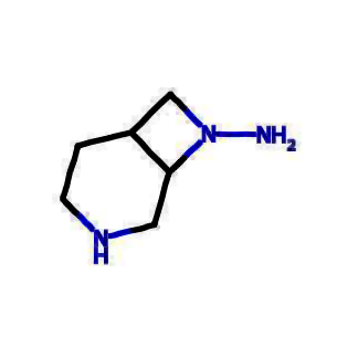 NN1CC2CCNCC21